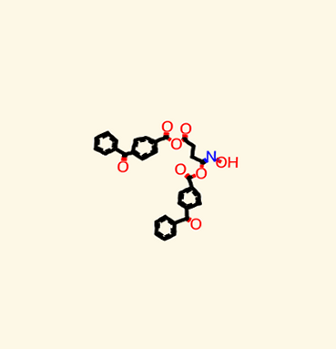 O=C(CC/C(=N/O)OC(=O)c1ccc(C(=O)c2ccccc2)cc1)OC(=O)c1ccc(C(=O)c2ccccc2)cc1